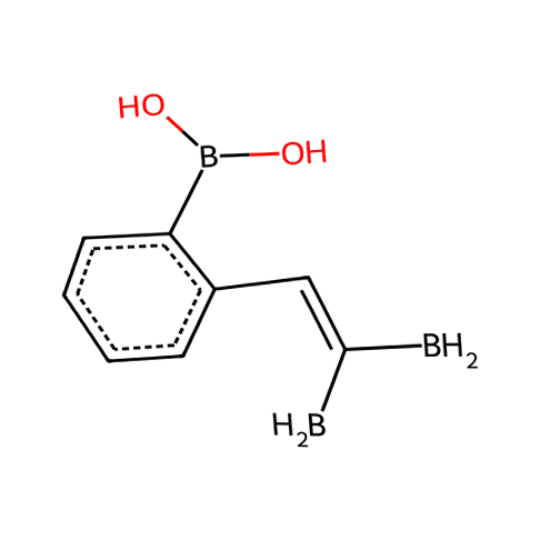 BC(B)=Cc1ccccc1B(O)O